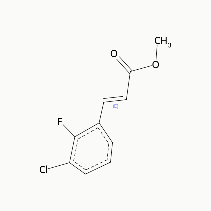 COC(=O)/C=C/c1cccc(Cl)c1F